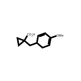 COC1=CCC(CC2(C(=O)O)CC2)C=C1